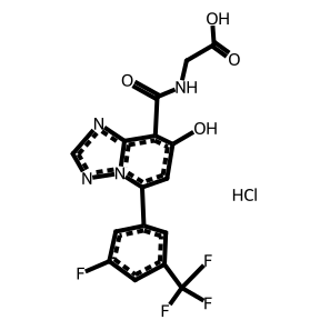 Cl.O=C(O)CNC(=O)c1c(O)cc(-c2cc(F)cc(C(F)(F)F)c2)n2ncnc12